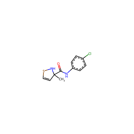 CC1(C(=O)Nc2ccc(Cl)cc2)C=CSN1